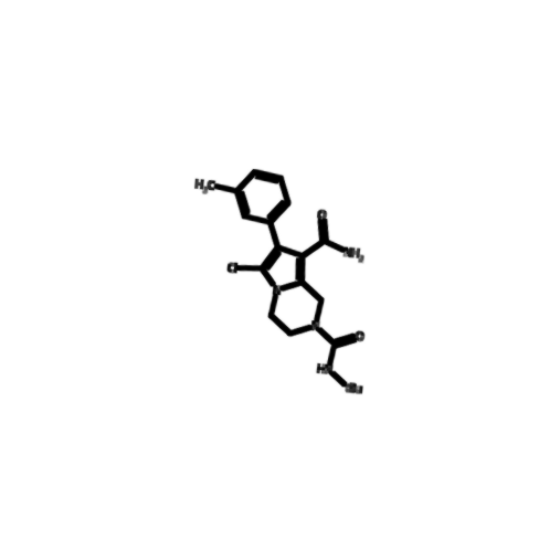 Cc1cccc(-c2c(C(N)=O)c3n(c2Cl)CCN(C(=O)NC(C)(C)C)C3)c1